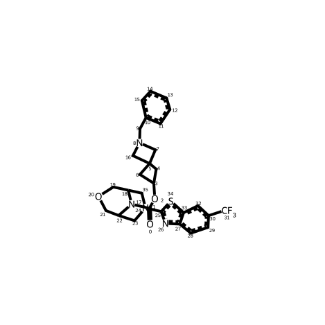 O=C(OC1CC2(C1)CN(Cc1ccccc1)C2)N1C2COCC1CN(c1nc3ccc(C(F)(F)F)cc3s1)C2